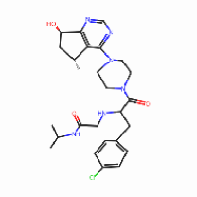 CC(C)NC(=O)CNC(Cc1ccc(Cl)cc1)C(=O)N1CCN(c2ncnc3c2[C@H](C)C[C@H]3O)CC1